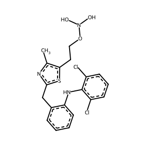 Cc1nc(Cc2ccccc2Nc2c(Cl)cccc2Cl)sc1CCON(O)O